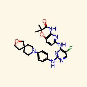 CC1(C)Oc2ccc(Nc3nc(Nc4ccc(N5CCC6(CCOC6)CC5)cc4)ncc3F)nc2NC1=O